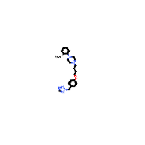 COc1ccccc1N1CCN(CCCCOc2ccc(Cn3ncnn3)cc2)CC1